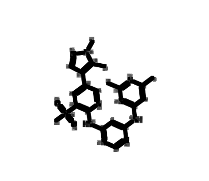 Cc1cc(Nc2cc(Nc3ncc(-c4cnn(C)c4C)cc3S(C)(=O)=O)ncn2)nc(C)n1